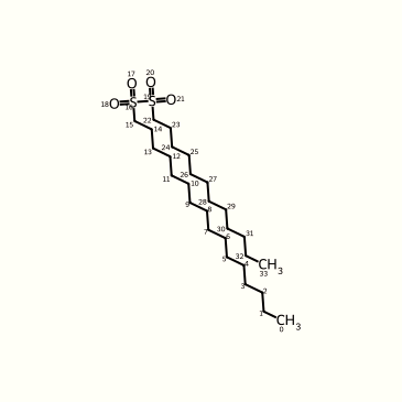 CCCCCCCCCCCCCCCCS(=O)(=O)S(=O)(=O)CCCCCCCCCCCC